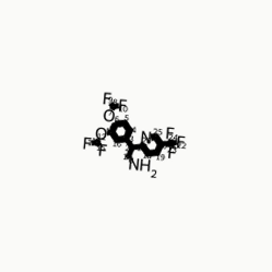 NCC(c1ccc(OC(F)F)c(OC(F)F)c1)c1ccc(C(F)(F)F)cn1